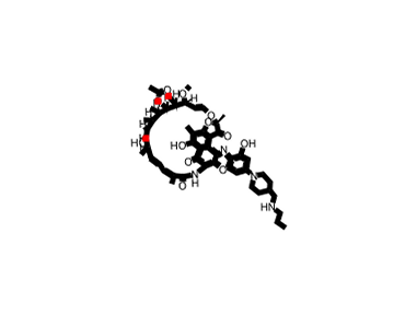 CCCNCC1CCN(c2cc(O)c3nc4c5c6c7c(C)c(O)c5c(=O)c(c-4oc3c2)NC(=O)/C(C)=C\C=C\[C@H](C)[C@H](O)[C@@H](C)[C@@H](C)[C@@H](C)[C@H](OC(C)=O)[C@H](C)[C@@H](OC)/C=C/O[C@@](C)(O7)C6=O)CC1